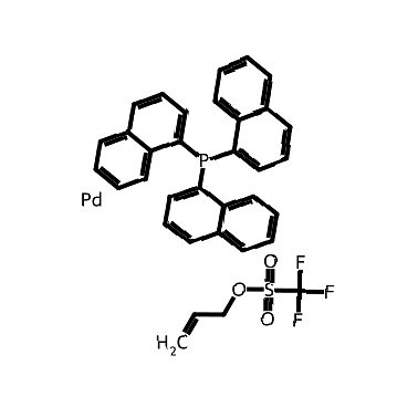 C=CCOS(=O)(=O)C(F)(F)F.[Pd].c1ccc2c(P(c3cccc4ccccc34)c3cccc4ccccc34)cccc2c1